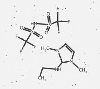 CCNC1N(C)C=CN1C.O=S(=O)(NS(=O)(=O)C(F)(F)F)C(F)(F)F